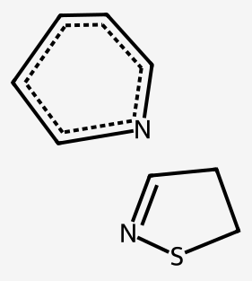 C1=NSCC1.c1ccncc1